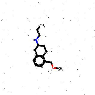 CCCNC1CCc2c(COC)cccc2C1